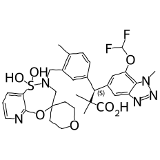 Cc1ccc([C@@H](c2cc(OC(F)F)c3c(c2)nnn3C)C(C)(C)C(=O)O)cc1CN1CC2(CCOCC2)Oc2ncccc2S1(O)O